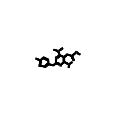 COC(=O)Cc1c(N(C)C)nc(Cc2ccc(C)cc2)nc1N(C)C